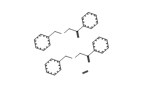 C=O.O=C(CSCc1ccccc1)c1ccccc1.O=C(CSCc1ccccc1)c1ccccc1